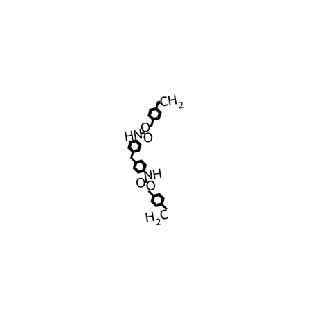 C=Cc1ccc(COC(=O)Nc2ccc(Cc3ccc(NC(=O)OCc4ccc(C=C)cc4)cc3)cc2)cc1